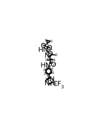 Cc1sc(NS(=O)(=O)C2CC2)nc1C(C)(C)C(=O)Nc1ccc(-c2cncc(C(F)(F)F)n2)cc1